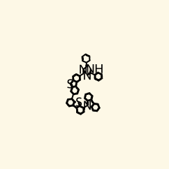 C1=CCC(C2N=C(c3ccc4sc5cc(-c6cccc7c6sc6c(-n8c9ccccc9c9ccccc98)cccc67)ccc5c4c3)N=C(c3ccccc3)N2)C=C1